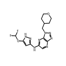 FC(F)Oc1cc(Nc2cnc3nnn(CC4CCOCC4)c3n2)n[nH]1